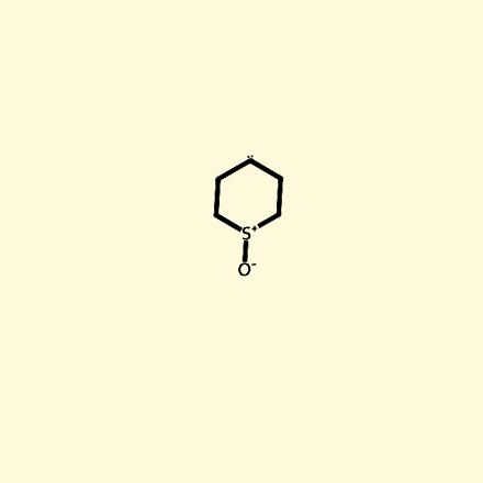 [O-][S+]1CC[C]CC1